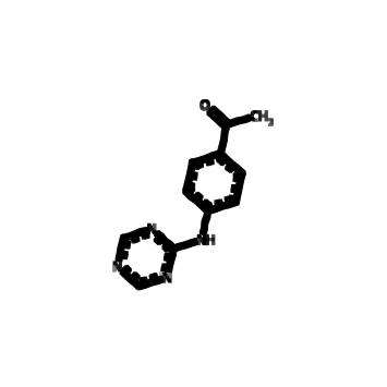 CC(=O)c1ccc(Nc2ncncn2)cc1